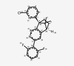 CC1(C)[C@H]2CC[C@@]1(c1cccc(Cl)n1)c1nnc(-c3c(F)cccc3F)cc12